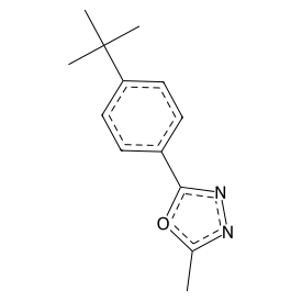 Cc1nnc(-c2ccc(C(C)(C)C)cc2)o1